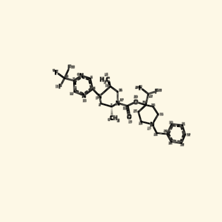 C[C@@H]1CN(c2cnc(C(F)(F)F)cn2)[C@@H](C)CN1C(=O)OC1(C(F)F)CCN(Cc2ccccc2)CC1